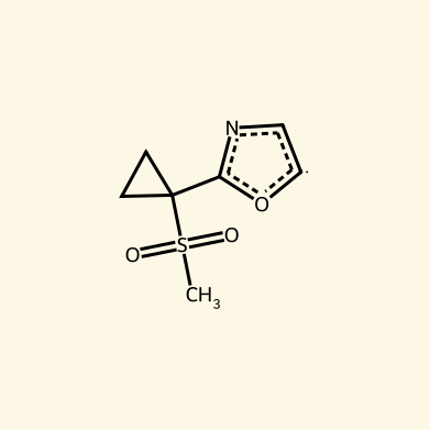 CS(=O)(=O)C1(c2nc[c]o2)CC1